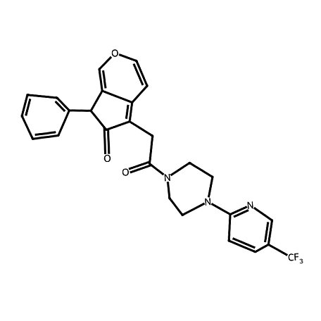 O=C1C(CC(=O)N2CCN(c3ccc(C(F)(F)F)cn3)CC2)=C2C=COC=C2C1c1ccccc1